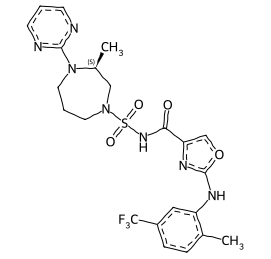 Cc1ccc(C(F)(F)F)cc1Nc1nc(C(=O)NS(=O)(=O)N2CCCN(c3ncccn3)[C@@H](C)C2)co1